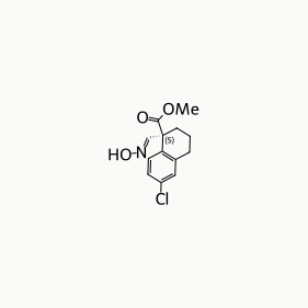 COC(=O)[C@@]1(C=NO)CCCc2cc(Cl)ccc21